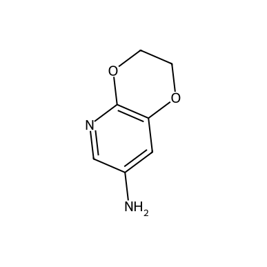 Nc1cnc2c(c1)OCCO2